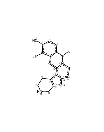 CC(c1ccc(C#N)c(F)c1)n1cnc2sc3c(c2c1=O)CCNC3